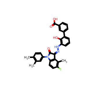 Cc1ccc(N2C(=O)C(=NNc3cccc(-c4cccc(C(=O)O)c4)c3O)c3c2ccc(F)c3C)cc1C